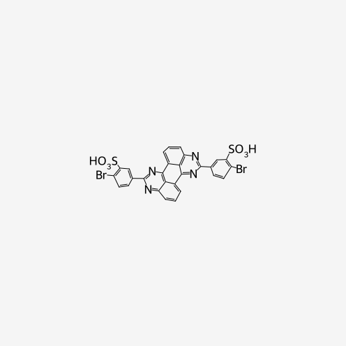 O=S(=O)(O)c1cc(-c2nc3cccc4c5nc(-c6ccc(Br)c(S(=O)(=O)O)c6)nc6cccc(c(n2)c34)c65)ccc1Br